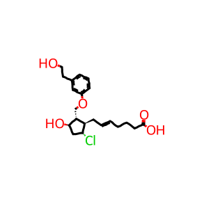 O=C(O)CCCC=CC[C@@H]1[C@@H](COc2cccc(CCO)c2)[C@H](O)C[C@H]1Cl